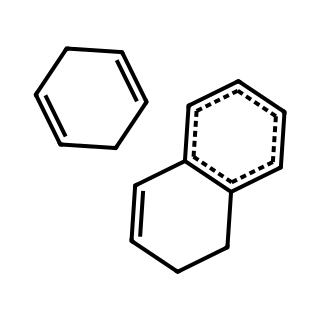 C1=CCC=CC1.C1=Cc2ccccc2CC1